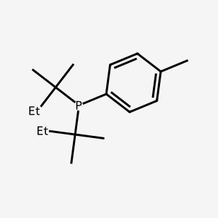 CCC(C)(C)P(c1ccc(C)cc1)C(C)(C)CC